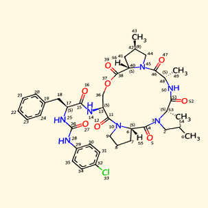 CCCN1C(=O)[C@@H]2CCCN2C(=O)[C@@H](NC(=O)[C@H](Cc2ccccc2)NC(=O)Nc2ccc(Cl)cc2)COC(=O)[C@@H]2C[C@@H](C)CN2C(=O)[C@H](C)NC(=O)[C@@H]1C